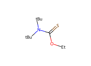 CCOC(=S)N(C(C)(C)C)C(C)(C)C